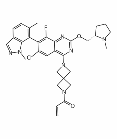 C=CC(=O)N1CC2(C1)CN(c1nc(OC[C@@H]3CCCN3C)nc3c(F)c(-c4c(C)ccc5cnn(C)c45)c(Cl)cc13)C2